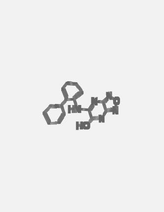 Oc1nc2nonc2nc1Nc1ccccc1-c1ccccc1